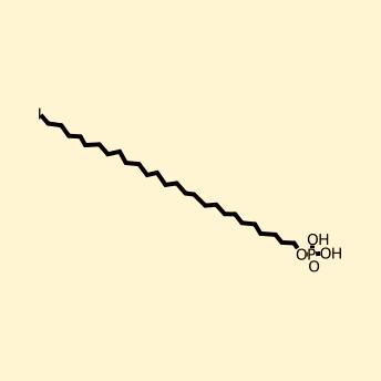 O=P(O)(O)OCCCCCCCCCCCCCCCCCCCCCCCCCCI